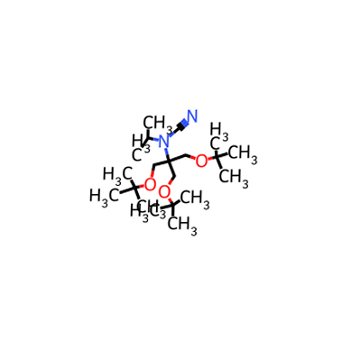 CC(C)N(C#N)C(COC(C)(C)C)(COC(C)(C)C)COC(C)(C)C